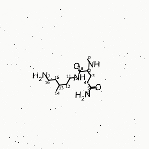 CNC(CCC(N)=O)C(=O)NCCC(C)CCN